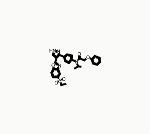 CCS(=O)(=O)c1ccc2oc(-c3c[nH]nc3-c3ccc(N(C(=O)COc4ccccc4)C(C)C)cc3)nc2c1